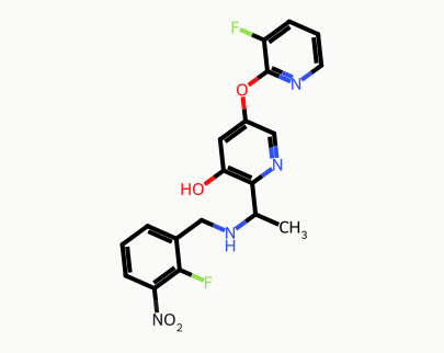 CC(NCc1cccc([N+](=O)[O-])c1F)c1ncc(Oc2ncccc2F)cc1O